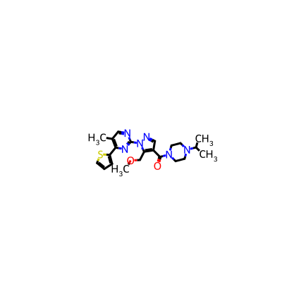 COCc1c(C(=O)N2CCN(C(C)C)CC2)cnn1-c1ncc(C)c(-c2cccs2)n1